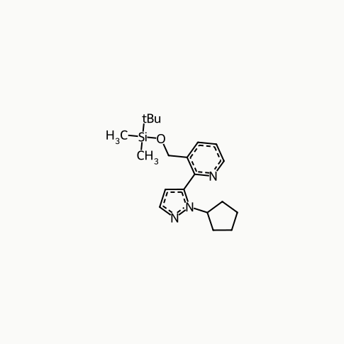 CC(C)(C)[Si](C)(C)OCc1cccnc1-c1ccnn1C1CCCC1